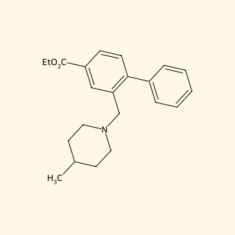 CCOC(=O)c1ccc(-c2ccccc2)c(CN2CCC(C)CC2)c1